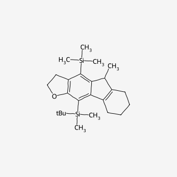 CC1C2=C(CCCC2)c2c1c([Si](C)(C)C)c1c(c2[Si](C)(C)C(C)(C)C)OCC1